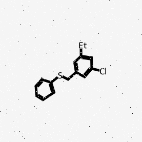 CCc1cc(Cl)cc(CSc2[c]cccc2)c1